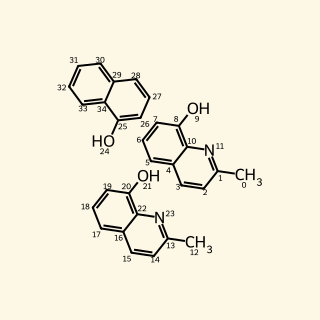 Cc1ccc2cccc(O)c2n1.Cc1ccc2cccc(O)c2n1.Oc1cccc2ccccc12